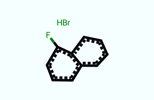 Br.Fc1cccc2ccccc12